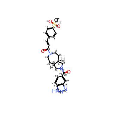 O=C(C=Cc1ccc(S(=O)(=O)C(F)(F)F)cc1)N1CC[C@@H]2CN(C(=O)c3ccc4[nH]nnc4c3)C[C@@H]2CC1